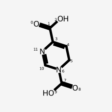 O=C(O)C1=CCN(C(=O)O)C=N1